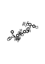 CC1(C)CCC(c2ccc(Cl)cc2)=C(CN2CCN3c4ccc(C(=O)NS(=O)(=O)c5ccc(N[C@H](CCN6CCOCC6)CSc6ccccc6)c(S(=O)(=O)C(F)(F)F)c5)cc4CC[C@@H]3C2)C1